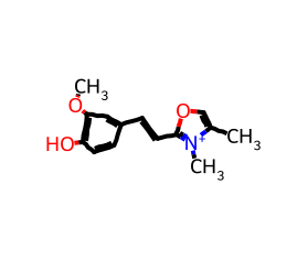 COc1cc(C=Cc2occ(C)[n+]2C)ccc1O